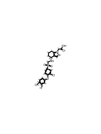 O=C(O)Cn1ncc2c1CCC[C@H]2NCS(=O)(=O)c1ccc(Oc2ccc(Cl)c(F)c2)c(Cl)c1